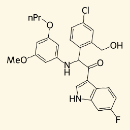 CCCOc1cc(NC(C(=O)c2c[nH]c3cc(F)ccc23)c2ccc(Cl)cc2CO)cc(OC)c1